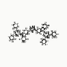 c1ccc(-c2nc(-c3ccccc3)nc(-n3c4ccccc4c4cc(-c5nnc(-c6ccc7c(c6)c6ccccc6n7-c6nc(-c7ccccc7)nc(-c7ccccc7)n6)s5)ccc43)n2)cc1